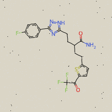 NC(=O)C(CCc1nc(-c2ccc(F)cc2)n[nH]1)CCc1ccc(C(=O)C(F)(F)F)s1